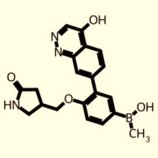 CB(O)c1ccc(OCC2CNC(=O)C2)c(-c2ccc3c(O)cnnc3c2)c1